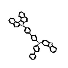 c1ccc(-c2ccc(N(c3ccc(-c4ccc(-n5c6ccc7ccccc7c6c6c7ccccc7ccc65)cc4)cc3)c3ccc4sc5ccccc5c4c3)cc2)cc1